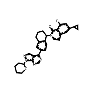 O=c1c2c(F)cc(C3CC3)cc2ccn1C1CCCc2cc(-c3ncnc4c3cnn4C3CCCCO3)ccc21